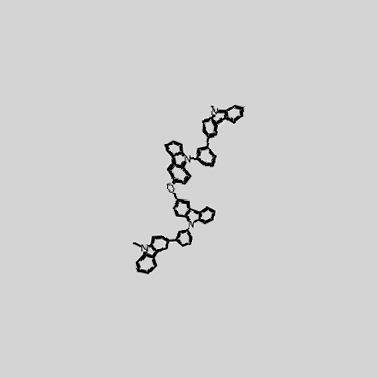 Cn1c2ccccc2c2cc(-c3cccc(-n4c5ccccc5c5cc(Oc6ccc7c(c6)c6ccccc6n7-c6cccc(-c7ccc8c(c7)c7ccccc7n8C)c6)ccc54)c3)ccc21